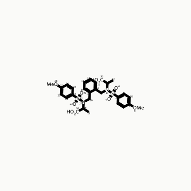 COc1ccc(S(=O)(=O)N(Cc2ccccc2CN(C(C)C(=O)O)S(=O)(=O)c2ccc(OC)cc2)C(C)C(=O)O)cc1